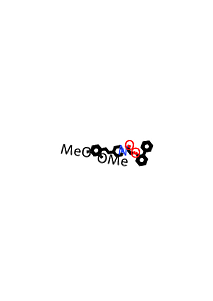 COc1ccc(CCC2CCN(C(=O)COc3ccccc3-c3ccccc3)CC2)c(OC)c1